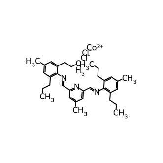 CCCc1cc(C)cc(CCC)c1N=Cc1cc(C)cc(C=Nc2c(CCC)cc(C)cc2CCC)n1.[Cl-].[Cl-].[Co+2]